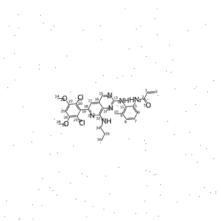 C=CC(=O)Nc1cccc(C)c1Nc1ncc2cc(-c3c(Cl)c(OC)cc(OC)c3Cl)nc(NCCC)c2n1